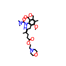 COc1c(C)c2c(c(NC(=O)N(C)C)c1CC=C(C)CCC(=O)OCCN1CCOCC1)C(=O)OC2